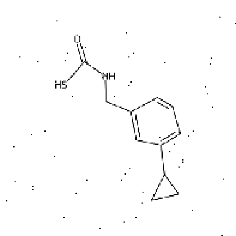 O=C(S)NCc1cccc(C2CC2)c1